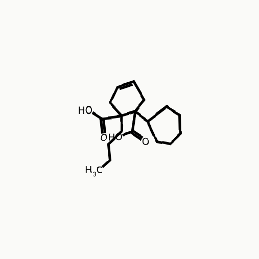 CCCCC1(C(=O)O)CC=CCC1(C(=O)O)C1CCCCC1